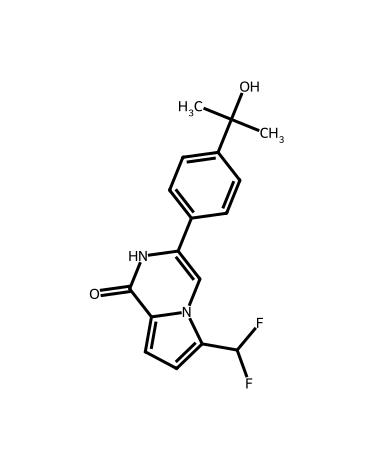 CC(C)(O)c1ccc(-c2cn3c(C(F)F)ccc3c(=O)[nH]2)cc1